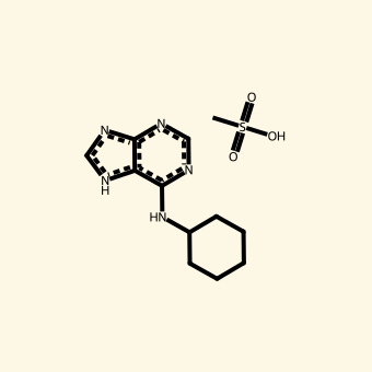 CS(=O)(=O)O.c1nc(NC2CCCCC2)c2[nH]cnc2n1